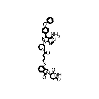 Nc1ncnc2c1c(-c1ccc(Oc3ccccc3)cc1)nn2[C@@H]1CCCN(C(=O)CCCSc2cccc3c2CN(C2CCC(=O)NC2=O)C3=O)C1